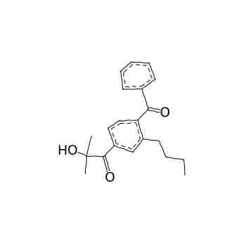 CCCCc1cc(C(=O)C(C)(C)O)ccc1C(=O)c1ccccc1